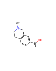 CB(O)c1ccc2c(c1)CN(C(C)C)CC2